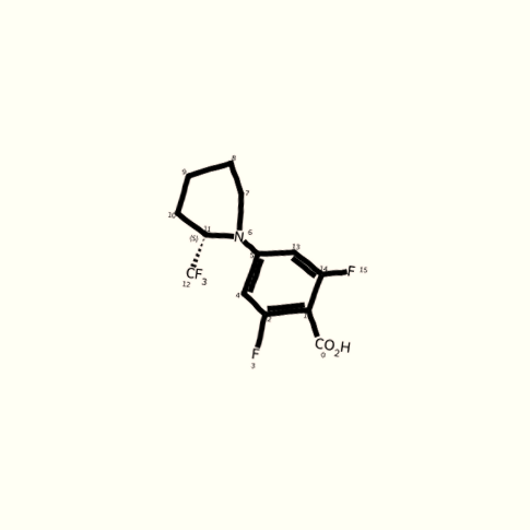 O=C(O)c1c(F)cc(N2CCCC[C@H]2C(F)(F)F)cc1F